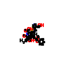 C[C@@H](O)[C@H]1C(=O)N2C(C(=O)O)=C(S/C=C\c3scnc3CO)C(C)(CCOC(=O)OC3CCCCC3)[C@H]12